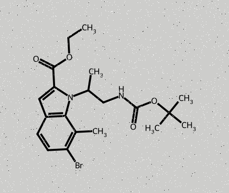 CCOC(=O)c1cc2ccc(Br)c(C)c2n1C(C)CNC(=O)OC(C)(C)C